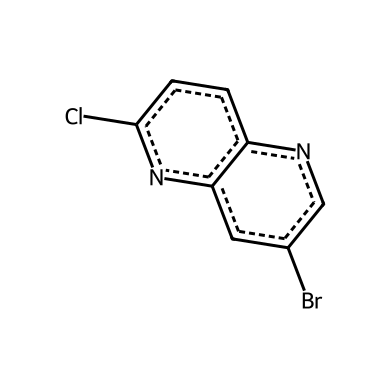 Clc1ccc2ncc(Br)cc2n1